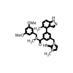 COc1cc(CN(C)C(=O)c2cc(Cn3ccn(C)c3=N)cc(-c3c(C)ccc4[nH]ncc34)c2)cc(OC)c1